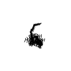 CCCCCCCC/C=C\CCCCCCCCOC(=O)NNC1CC(O[C@H]2C[C@](O)(C(=O)CO)Cc3c(O)c4c(c(O)c32)C(=O)c2c(OC)cccc2C4=O)OC(C)C1O